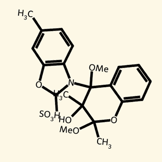 COC1(C)Oc2ccccc2C(OC)(N2c3ccc(C)cc3OC2S(=O)(=O)O)C1(C)O